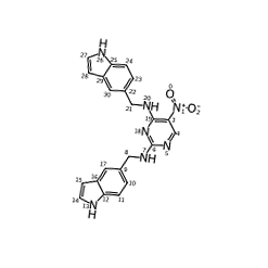 O=[N+]([O-])c1cnc(NCc2ccc3[nH]ccc3c2)nc1NCc1ccc2[nH]ccc2c1